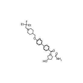 CCC(F)(CC)CN1CCC(COc2ccc(-c3ccc(C(=O)N4C[C@H](O)C[C@H]4C(N)=O)cc3)cn2)CC1